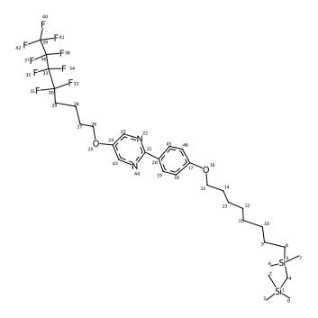 C[Si](C)(C)C[Si](C)(C)CCCCCCCCOc1ccc(-c2ncc(OCCCCC(F)(F)C(F)(F)C(F)(F)C(F)(F)F)cn2)cc1